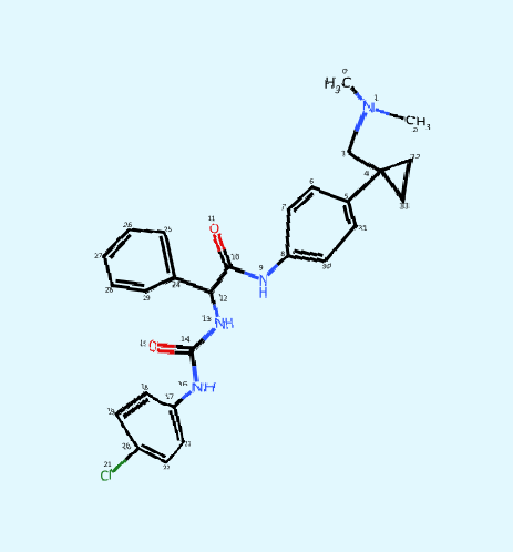 CN(C)CC1(c2ccc(NC(=O)C(NC(=O)Nc3ccc(Cl)cc3)c3ccccc3)cc2)CC1